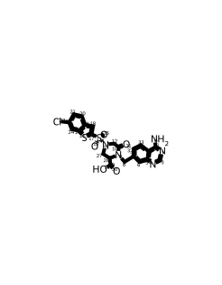 Nc1ncnc2cc(CN3C(=O)CN(S(=O)(=O)c4cc5ccc(Cl)cc5s4)CC3C(=O)O)ccc12